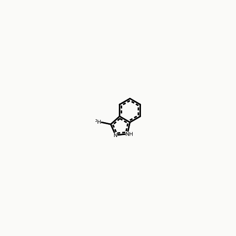 [2H]c1n[nH]c2ccccc12